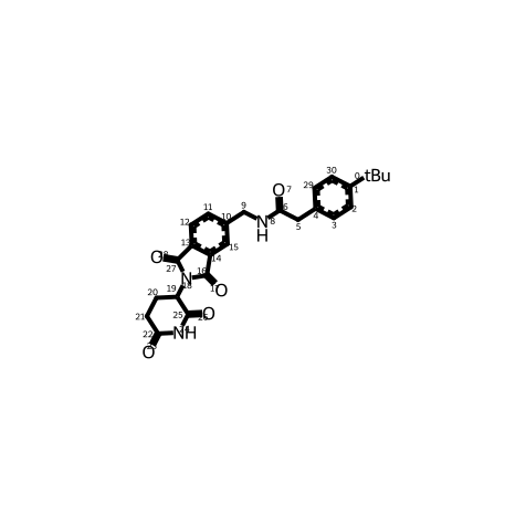 CC(C)(C)c1ccc(CC(=O)NCc2ccc3c(c2)C(=O)N(C2CCC(=O)NC2=O)C3=O)cc1